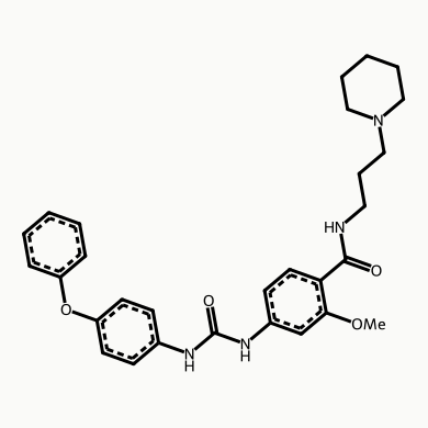 COc1cc(NC(=O)Nc2ccc(Oc3ccccc3)cc2)ccc1C(=O)NCCCN1CCCCC1